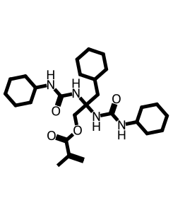 C=C(C)C(=O)OCC(CC1CCCCC1)(NC(=O)NC1CCCCC1)NC(=O)NC1CCCCC1